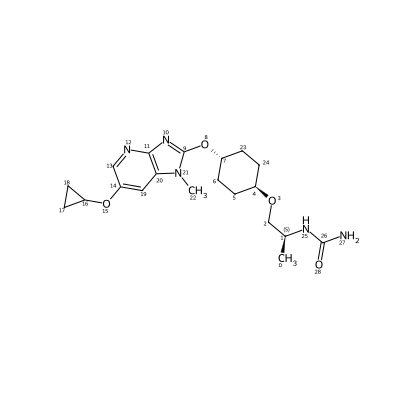 C[C@@H](CO[C@H]1CC[C@H](Oc2nc3ncc(OC4CC4)cc3n2C)CC1)NC(N)=O